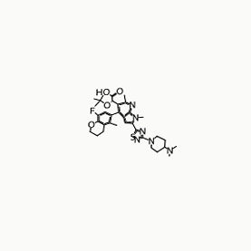 Cc1nc2c(cc(-c3nc(N4CCC(N(C)C)CC4)ns3)n2C)c(-c2cc(F)c3c(c2C)CCCO3)c1[C@H](OC(C)(C)C)C(=O)O